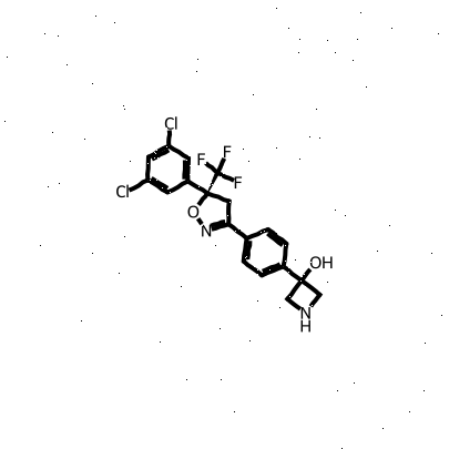 OC1(c2ccc(C3=NO[C@@](c4cc(Cl)cc(Cl)c4)(C(F)(F)F)C3)cc2)CNC1